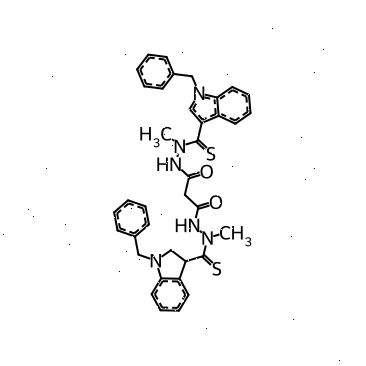 CN(NC(=O)CC(=O)NN(C)C(=S)C1CN(Cc2ccccc2)c2ccccc21)C(=S)c1cn(Cc2ccccc2)c2ccccc12